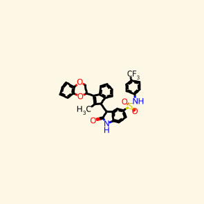 CC1=C(C2COc3ccccc3O2)c2ccccc2C1C1C(=O)Nc2ccc(S(=O)(=O)Nc3ccc(C(F)(F)F)cc3)cc21